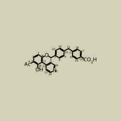 CC(=O)c1ccc(OCc2ccc(Cc3ccc(C(=O)O)cc3)cc2)c(-c2ccncc2)c1O